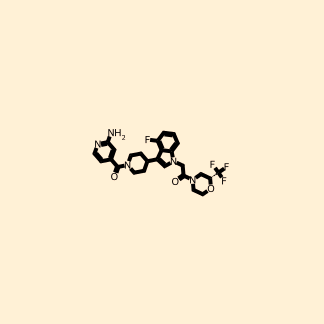 Nc1cc(C(=O)N2CCC(c3cn(CC(=O)N4CCO[C@@H](C(F)(F)F)C4)c4cccc(F)c34)CC2)ccn1